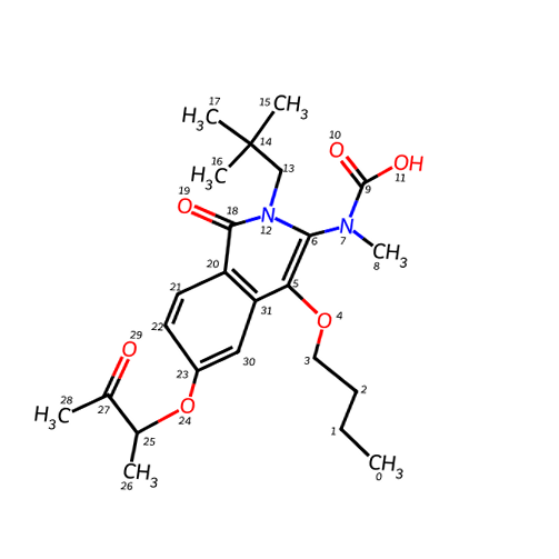 CCCCOc1c(N(C)C(=O)O)n(CC(C)(C)C)c(=O)c2ccc(OC(C)C(C)=O)cc12